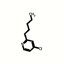 CCCCCc1cc(Cl)ccn1